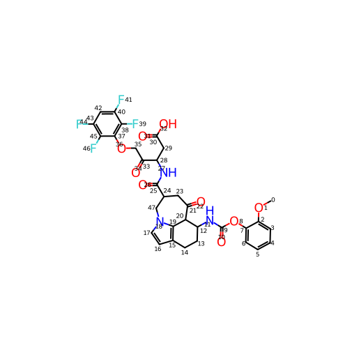 COc1ccccc1OC(=O)NC1CCc2ccn3c2C1C(=O)CC(C(=O)NC(CC(=O)O)C(=O)COc1c(F)c(F)cc(F)c1F)C3